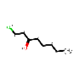 [CH2]CCCCC(=O)CCCl